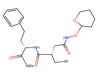 CNC(=O)[C@H](CCc1ccccc1)NC(=O)[C@H](CC(=O)NOC1CCCCO1)CC(C)C